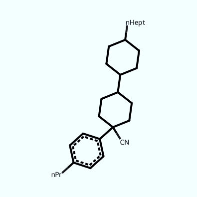 CCCCCCCC1CCC(C2CCC(C#N)(c3ccc(CCC)cc3)CC2)CC1